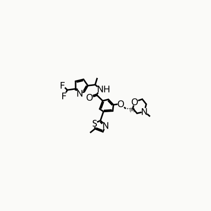 Cc1cnc(-c2cc(OC[C@H]3CN(C)CCO3)cc(C(=O)NC(C)c3ccc(C(F)F)nc3)c2)s1